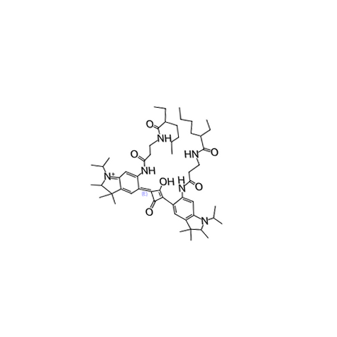 CCCCC(CC)C(=O)NCCC(=O)Nc1cc2c(cc1C1=C(O)/C(=c3/cc4c(cc3NC(=O)CCNC(=O)C(CC)CCCC)=[N+](C(C)C)C(C)C4(C)C)C1=O)C(C)(C)C(C)N2C(C)C